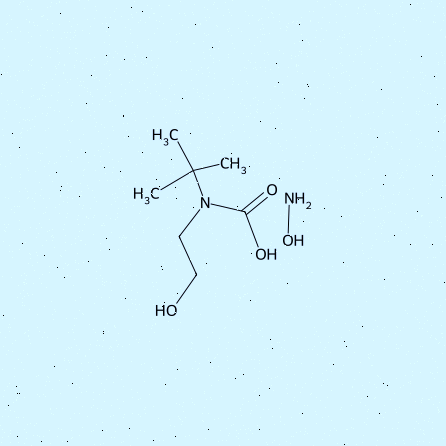 CC(C)(C)N(CCO)C(=O)O.NO